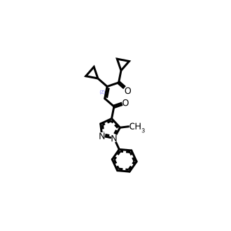 Cc1c(C(=O)/C=C(\C(=O)C2CC2)C2CC2)cnn1-c1ccccc1